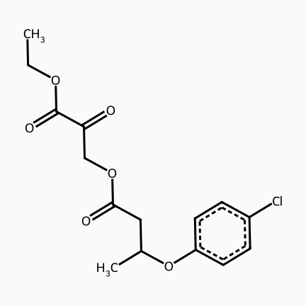 CCOC(=O)C(=O)COC(=O)CC(C)Oc1ccc(Cl)cc1